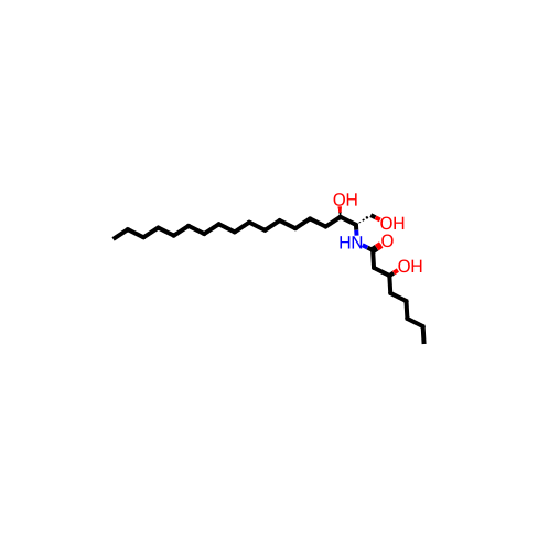 CCCCCCCCCCCCCCC[C@@H](O)[C@H](CO)NC(=O)CC(O)CCCCC